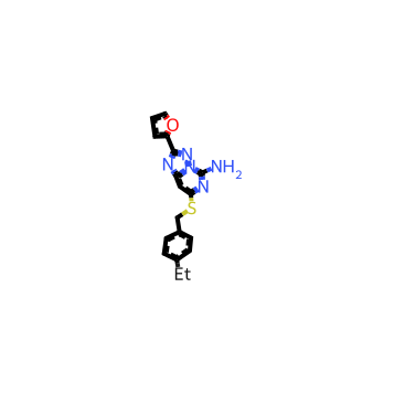 CCc1ccc(CSc2cc3nc(-c4ccco4)nn3c(N)n2)cc1